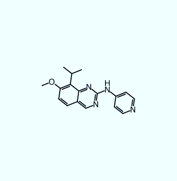 COc1ccc2cnc(Nc3ccncc3)nc2c1C(C)C